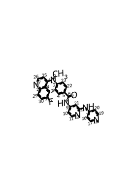 CN(c1ccc(C(=O)Nc2ccnc(Nc3ccncc3)c2)cc1)c1ccnc2ccc(F)cc12